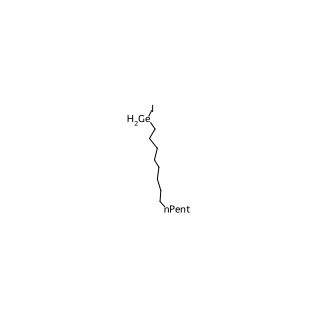 CCCCCCCCCCCC[CH2][GeH2][I]